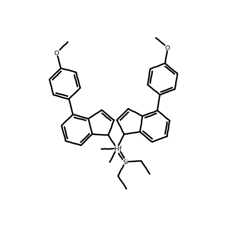 CC[Si](CC)=[Hf]([CH3])([CH3])([CH]1C=Cc2c(-c3ccc(OC)cc3)cccc21)[CH]1C=Cc2c(-c3ccc(OC)cc3)cccc21